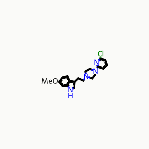 COc1ccc2c(CCN3CCN(c4cccc(Cl)n4)CC3)c[nH]c2c1